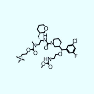 COC(=O)NCCO[C@@H](c1cc(F)cc(Cl)c1)[C@@H]1CCCN(C(=O)N[C@@H](C[C@H]2CCCOC2)CN(C)C(=O)OCC[Si](C)(C)C)C1